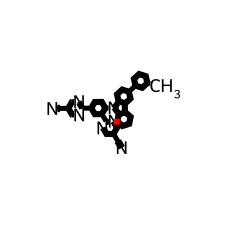 Cc1cccc(-c2ccc3c(c2)c2ccccc2n3-c2ccc(-c3ncc(C#N)cn3)cc2-c2ncc(C#N)cn2)c1